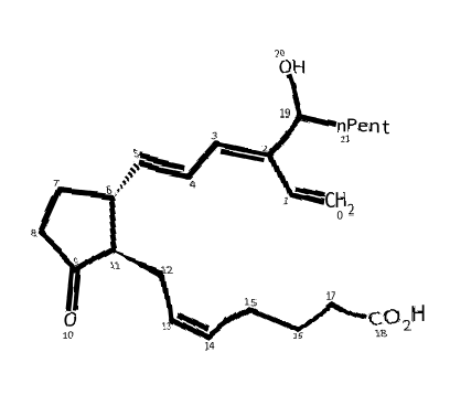 C=C/C(=C\C=C\[C@H]1CCC(=O)[C@@H]1C/C=C\CCCC(=O)O)C(O)CCCCC